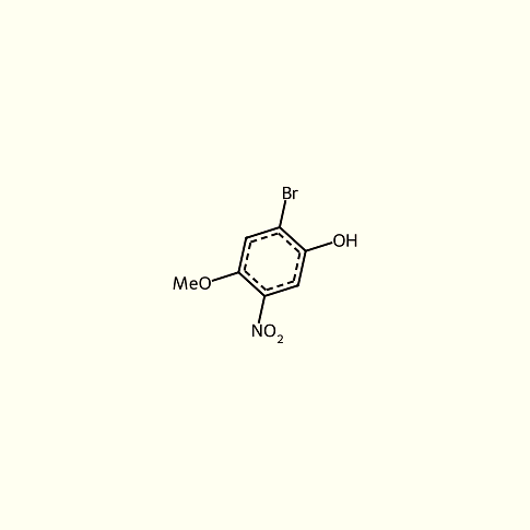 COc1cc(Br)c(O)cc1[N+](=O)[O-]